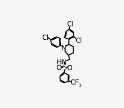 O=S(=O)(NCC1CCC(c2ccc(Cl)cc2Cl)N(c2ccc(Cl)cc2)C1)c1cccc(C(F)(F)F)c1